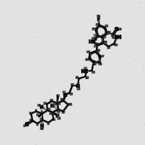 C[C@]12CCC(=O)C[C@@H]1CC[C@@H]1[C@@H]2CC[C@]2(C)[C@@H](OCCOCCNCc3ccc(-c4[nH]c5cc(F)cc6c5c4CCNC6=O)cc3)CC[C@@H]12